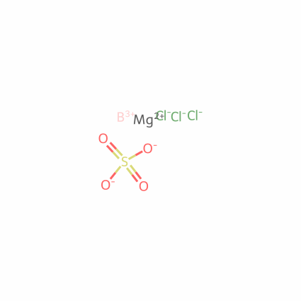 O=S(=O)([O-])[O-].[B+3].[Cl-].[Cl-].[Cl-].[Mg+2]